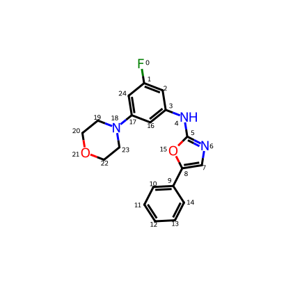 Fc1cc(Nc2ncc(-c3ccccc3)o2)cc(N2CCOCC2)c1